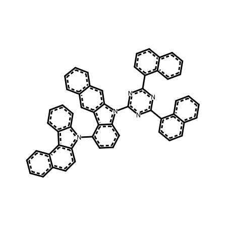 c1ccc2cc3c(cc2c1)c1c(-n2c4ccccc4c4c5ccccc5ccc42)cccc1n3-c1nc(-c2cccc3ccccc23)nc(-c2cccc3ccccc23)n1